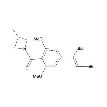 CCC(C)/C=C(/c1cc(OC)c(C(=O)N2CC(C)C2)c(OC)c1)C(C)CC